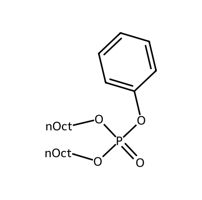 CCCCCCCCOP(=O)(OCCCCCCCC)Oc1ccccc1